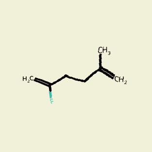 C=C(C)CCC(=C)F